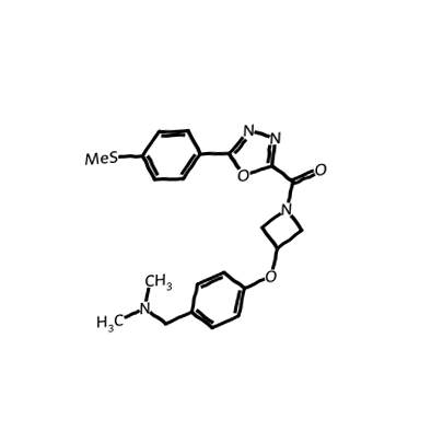 CSc1ccc(-c2nnc(C(=O)N3CC(Oc4ccc(CN(C)C)cc4)C3)o2)cc1